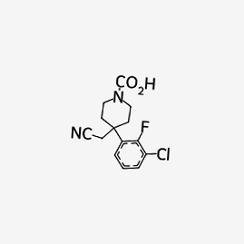 N#CCC1(c2cccc(Cl)c2F)CCN(C(=O)O)CC1